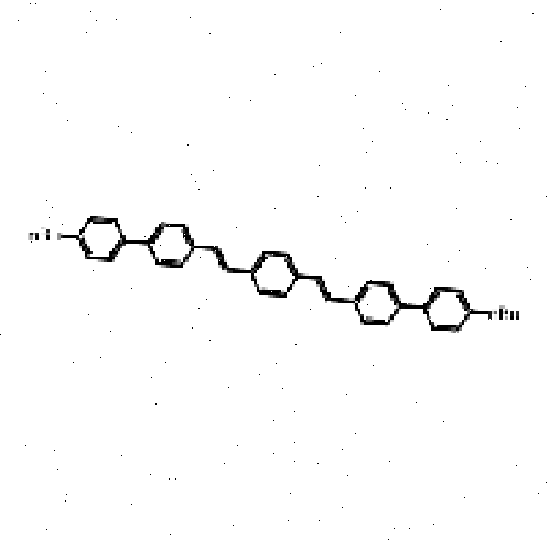 CCCCc1ccc(-c2ccc(C=Cc3ccc(C=Cc4ccc(-c5ccc(CCCC)cc5)cc4)cc3)cc2)cc1